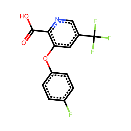 O=C(O)c1ncc(C(F)(F)F)cc1Oc1ccc(F)cc1